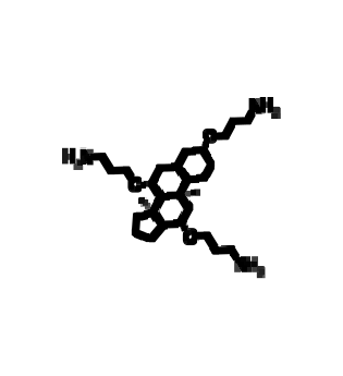 C[C@]12C[C@H](OCCCN)C3CCC[C@@]3(C)C1[C@H](OCCCN)CC1C[C@H](OCCCN)CCC12